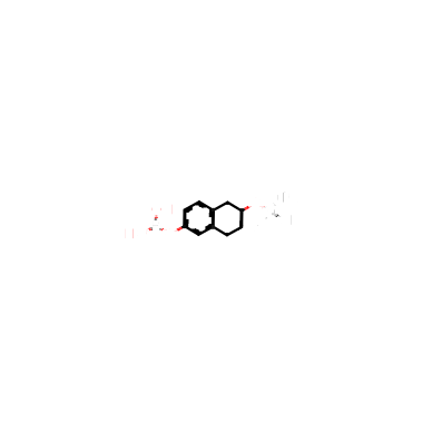 CC(C)(C)[Si](C)(C)OC1CCc2cc(OB(O)O)ccc2C1